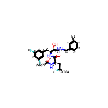 CCCCC(F)C[C@@H](NC(=O)NC)C(=O)N[C@@H](Cc1cc(F)cc(F)c1)[C@@H](O)CNCc1cccc(CC)c1